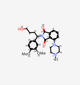 CCN1CCN(c2cccc3c2C(=O)N(C(CCCO)c2ccc(OC)c(OC)c2)C3=O)CC1